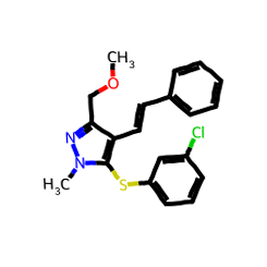 COCc1nn(C)c(Sc2cccc(Cl)c2)c1/C=C/c1ccccc1